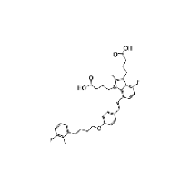 Cc1c(F)cccc1CCCCOc1ccc(/C=C/c2ccc(F)c3c(CCCC(=O)O)c(C)n(CCCC(=O)O)c23)cc1